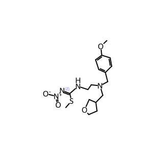 COc1ccc(CN(CCN/C(=N/[N+](=O)[O-])SC)CC2CCOC2)cc1